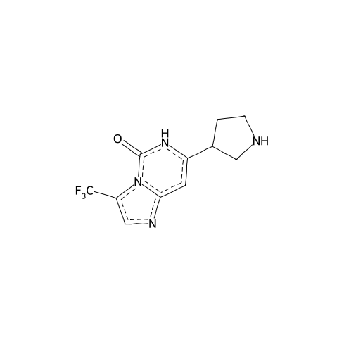 O=c1[nH]c(C2CCNC2)cc2ncc(C(F)(F)F)n12